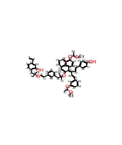 C=Cc1ccc(CC(C)(C)OC=Cc2cccc(CC(C)(C)OC(=Cc3ccccc3)C(=C(C=Cc3ccc(O)cc3)C=Cc3cccc(OC(C)OCC)c3)c3ccc(OC(C)OCC)cc3)c2)c(O)c1